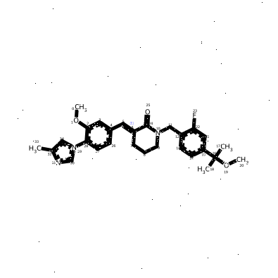 COc1cc(/C=C2\CCCN(Cc3ccc(C(C)(C)OC)cc3F)C2=O)ccc1-n1cnc(C)c1